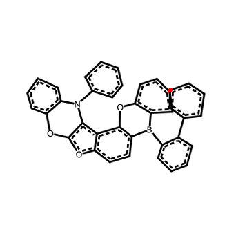 c1ccc(-c2ccccc2B2c3ccccc3Oc3c2ccc2oc4c(c32)N(c2ccccc2)c2ccccc2O4)cc1